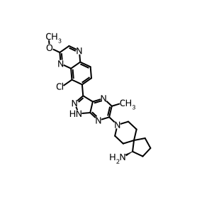 COc1cnc2ccc(-c3n[nH]c4nc(N5CCC6(CCC[C@H]6N)CC5)c(C)nc34)c(Cl)c2n1